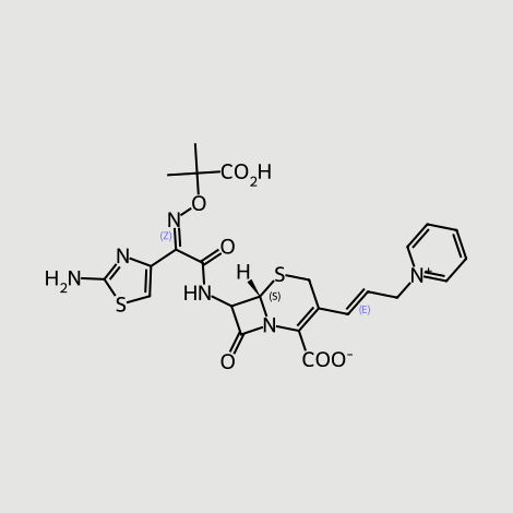 CC(C)(O/N=C(\C(=O)NC1C(=O)N2C(C(=O)[O-])=C(/C=C/C[n+]3ccccc3)CS[C@@H]12)c1csc(N)n1)C(=O)O